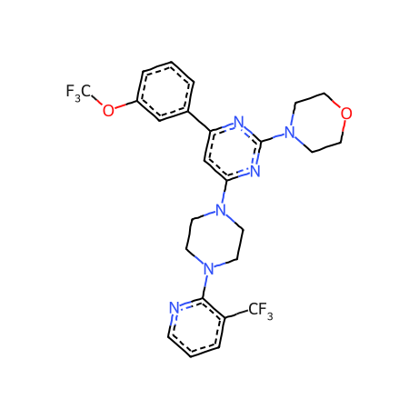 FC(F)(F)Oc1cccc(-c2cc(N3CCN(c4ncccc4C(F)(F)F)CC3)nc(N3CCOCC3)n2)c1